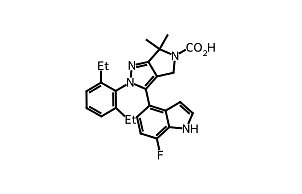 CCc1cccc(CC)c1-n1nc2c(c1-c1ccc(F)c3[nH]ccc13)CN(C(=O)O)C2(C)C